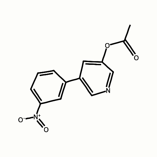 CC(=O)Oc1cncc(-c2cccc([N+](=O)[O-])c2)c1